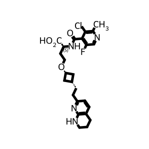 Cc1ncc(F)c(C(=O)N[C@@H](CCO[C@H]2C[C@@H](CCc3ccc4c(n3)NCCC4)C2)C(=O)O)c1Cl